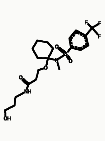 CN(C1(OCCC(=O)NCCCO)CCCCC1)S(=O)(=O)c1ccc(C(F)(F)F)cc1